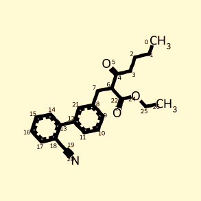 CCCCC(=O)C(Cc1cccc(-c2ccccc2C#N)c1)C(=O)OCC